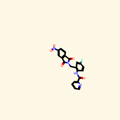 O=C(Nc1ccc(F)cc1CN1C(=O)c2ccc([N+](=O)[O-])cc2C1=O)c1ccccn1